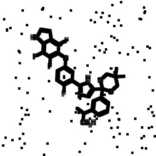 CC(C(=O)O)c1cccc(C2(c3cnc(-c4cc(Oc5c(F)c(F)c6[nH]ccc6c5F)ccc4F)[nH]3)OCC(C)(C)CO2)c1